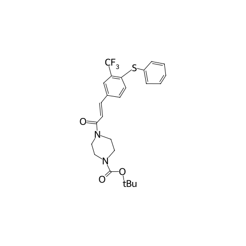 CC(C)(C)OC(=O)N1CCN(C(=O)C=Cc2ccc(Sc3ccccc3)c(C(F)(F)F)c2)CC1